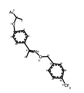 CC(=O)C(C)Oc1ccc(C(C)=NOCc2ccc(C(F)(F)F)cc2)cc1